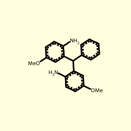 COc1ccc(N)c(C(c2ccccc2)c2cc(OC)ccc2N)c1